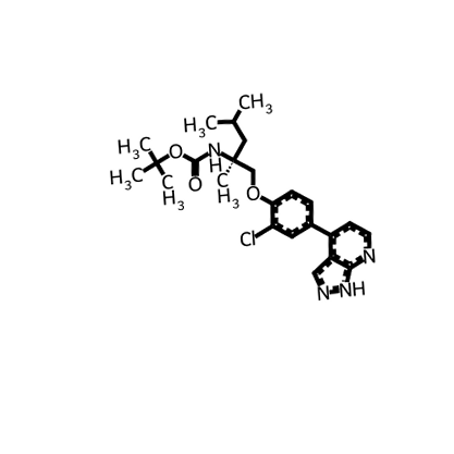 CC(C)C[C@@](C)(COc1ccc(-c2ccnc3[nH]ncc23)cc1Cl)NC(=O)OC(C)(C)C